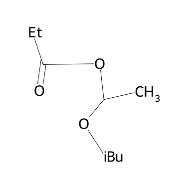 CCC(=O)OC(C)OC(C)CC